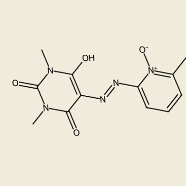 Cc1cccc(/N=N/c2c(O)n(C)c(=O)n(C)c2=O)[n+]1[O-]